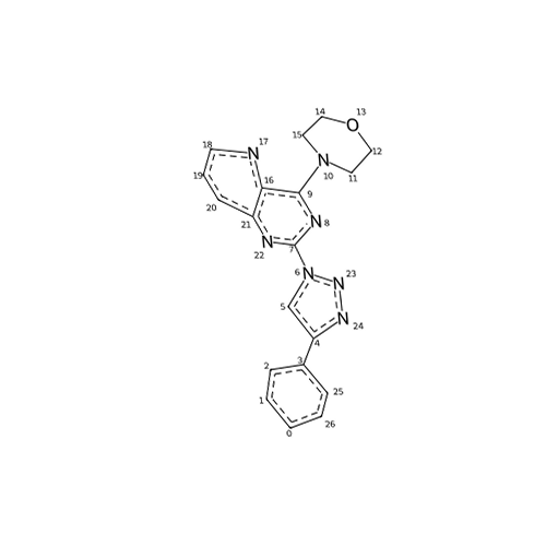 c1ccc(-c2cn(-c3nc(N4CCOCC4)c4ncccc4n3)nn2)cc1